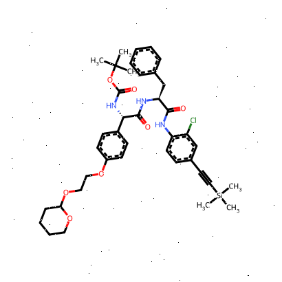 CC(C)(C)OC(=O)N[C@H](C(=O)N[C@@H](Cc1ccccc1)C(=O)Nc1ccc(C#C[Si](C)(C)C)cc1Cl)c1ccc(OCCOC2CCCCO2)cc1